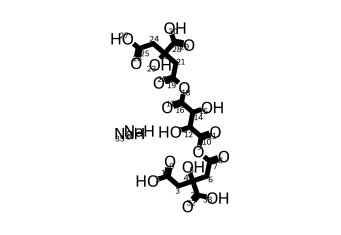 O=C(O)CC(O)(CC(=O)OC(=O)C(O)C(O)C(=O)OC(=O)CC(O)(CC(=O)O)C(=O)O)C(=O)O.[NaH].[NaH]